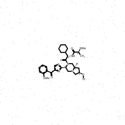 CCO[C@@H]1C[C@@H]2CN(C(=O)[C@@H](NC(=O)[C@H](C)NC)C3CCCCC3)[C@H](c3nc(C(=O)c4ccccc4OC)cs3)CN2C1